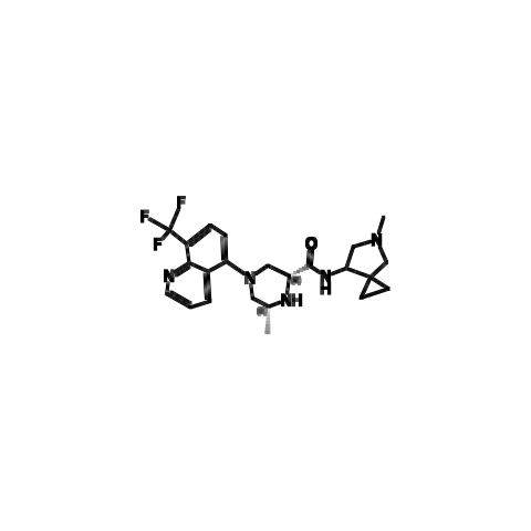 C[C@@H]1CN(c2ccc(C(F)(F)F)c3ncccc23)C[C@H](C(=O)NC2CN(C)CC23CC3)N1